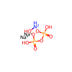 NO.O=P([O-])(O)OP(=O)([O-])O.[Na+].[Na+]